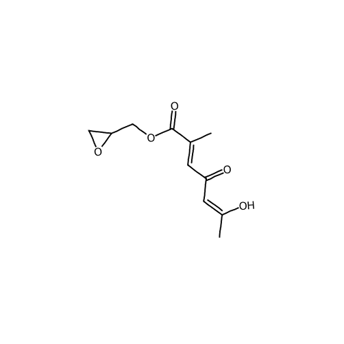 CC(O)=CC(=O)C=C(C)C(=O)OCC1CO1